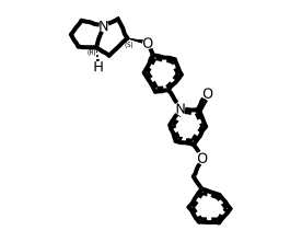 O=c1cc(OCc2ccccc2)ccn1-c1ccc(O[C@H]2C[C@H]3CCCN3C2)cc1